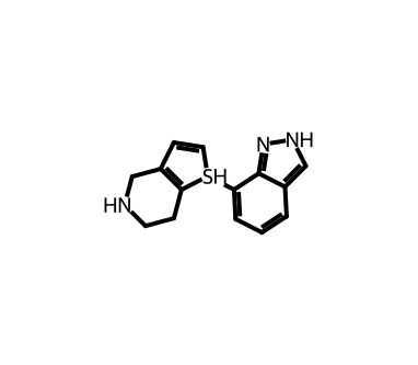 C1=C[SH](c2cccc3c[nH]nc23)C2=C1CNCC2